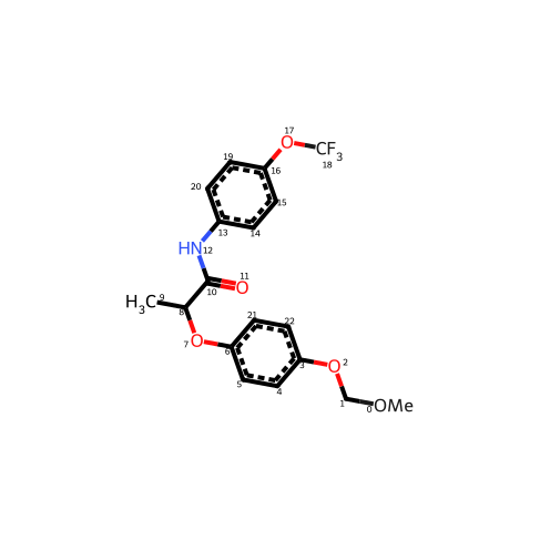 COCOc1ccc(OC(C)C(=O)Nc2ccc(OC(F)(F)F)cc2)cc1